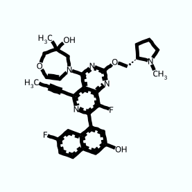 CC#Cc1nc(-c2cc(O)cc3ccc(F)cc23)c(F)c2nc(OC[C@@H]3CCCN3C)nc(N3C=COCC(C)(O)C3)c12